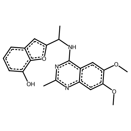 COc1cc2nc(C)nc(NC(C)c3cc4cccc(O)c4o3)c2cc1OC